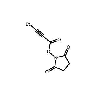 CCC#CC(=O)ON1C(=O)CCC1=O